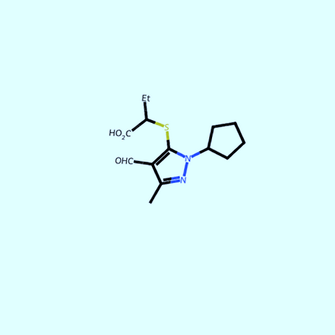 CCC(Sc1c(C=O)c(C)nn1C1CCCC1)C(=O)O